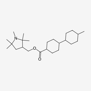 CC1CCC(C2CCC(C(=O)OCC3CC(C)(C)N(C)C3(C)C)CC2)CC1